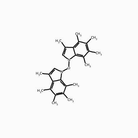 Cc1c(C)c(C)c2c(c(C)cn2On2cc(C)c3c(C)c(C)c(C)c(C)c32)c1C